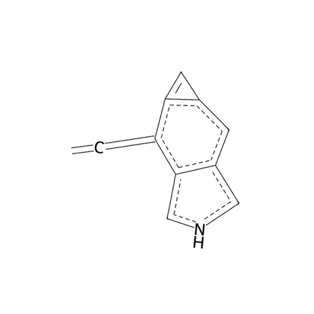 C=C=c1c2c(cc3c[nH]cc13)C=2